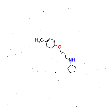 CC1=CC=C(OCCCNC2CCCC2)CC1